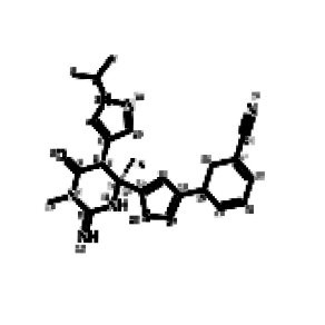 CC(C)n1cc([C@@H]2C(=O)N(C)C(=N)N[C@]2(C)c2cc(C3C=CC=C(C#N)C3)cs2)cn1